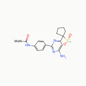 CNC(=O)Nc1ccc(-c2nc(N)cc(C3(S(C)(=O)=O)CCCC3)n2)cc1